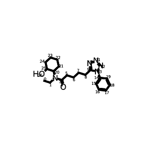 CCN(C(=O)CCCCc1nnnn1-c1ccccc1)C1CCCCC1O